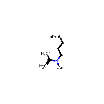 C=C(C)N(CCCCCCCC)C(C)=O